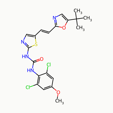 COc1cc(Cl)c(NC(=O)Nc2ncc(C=Cc3ncc(C(C)(C)C)o3)s2)c(Cl)c1